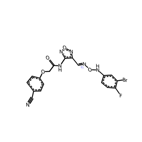 N#Cc1ccc(OCC(=O)Nc2nonc2/C=N/ONc2ccc(F)c(Br)c2)cc1